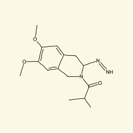 COc1cc2c(cc1OC)CN(C(=O)C(C)C)C(N=N)C2